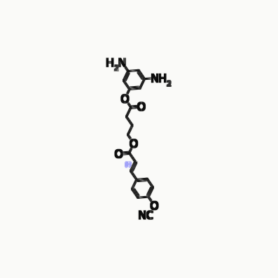 N#COc1ccc(/C=C/C(=O)OCCCC(=O)Oc2cc(N)cc(N)c2)cc1